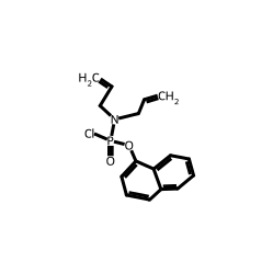 C=CCN(CC=C)P(=O)(Cl)Oc1cccc2ccccc12